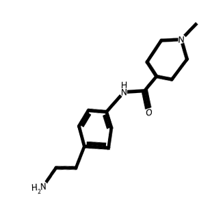 CN1CCC(C(=O)Nc2ccc(CCN)cc2)CC1